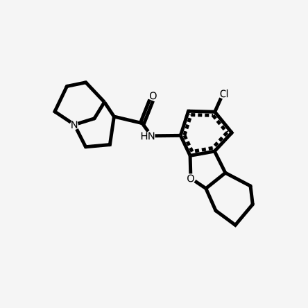 O=C(Nc1cc(Cl)cc2c1OC1CCCCC21)C1CCN2CCCC1C2